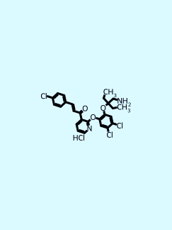 CCC(CC)(CN)Oc1cc(Cl)c(Cl)cc1Oc1ncccc1C(=O)C=Cc1ccc(Cl)cc1.Cl